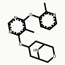 Cc1ncccc1Oc1ncnc(OC2CC3COCC(C2)N3)c1C